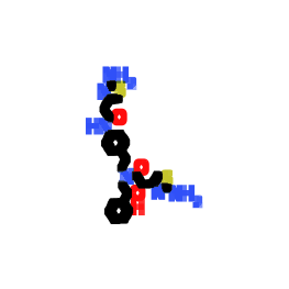 Nc1nc(CC(=O)Nc2ccc(CCN(CC(O)c3ccccc3)C(=O)Cc3csc(N)n3)cc2)cs1